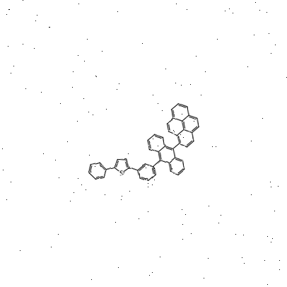 c1ccc(-c2ccc(-c3cccc(-c4c5ccccc5c(-c5ccc6ccc7cccc8ccc5c6c78)c5ccccc45)c3)s2)cc1